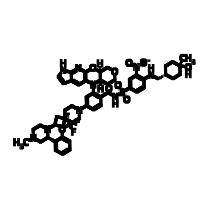 CN1CCN(C2CC3(CCN(c4ccc(C(=O)NS(=O)(=O)c5ccc(NC[C@H]6CC[C@](C)(O)CC6)c([N+](=O)[O-])c5)c(N5c6cc7cc[nH]c7nc6O[C@H]6COCC[C@@H]65)c4)CC3)C2)[C@@H](c2ccccc2OC(F)(F)F)C1